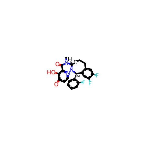 CN1C(=O)c2c(O)c(=O)ccn2N2[C@H](c3ccccc3F)c3cc(F)c(F)cc3CCC[C@@H]12